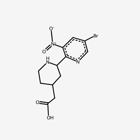 O=C(O)CC1CCNC(c2ncc(Br)cc2[N+](=O)[O-])C1